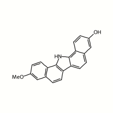 COc1ccc2c(ccc3c4ccc5cc(O)ccc5c4[nH]c23)c1